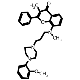 COc1ccccc1N1CCN(CCCN(C)c2cccc3c(=O)c(C)c(-c4ccccc4)oc23)CC1